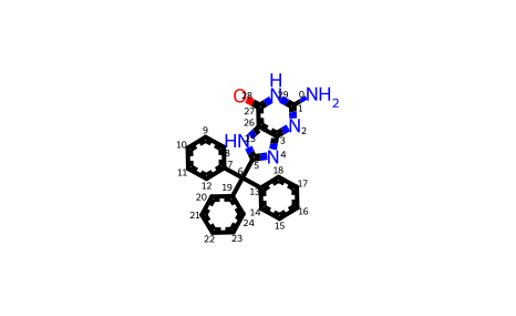 Nc1nc2nc(C(c3ccccc3)(c3ccccc3)c3ccccc3)[nH]c2c(=O)[nH]1